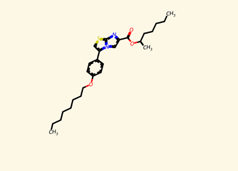 CCCCCCCCOc1ccc(-c2csc3nc(C(=O)OC(C)CCCCC)cn23)cc1